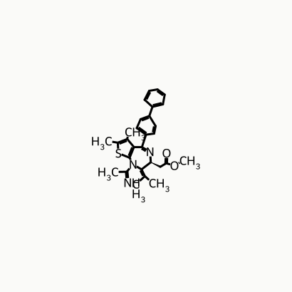 COC(=O)C[C@@H]1N=C(c2ccc(-c3ccccc3)cc2)c2c(sc(C)c2C)N(C(C)=N)C1=C(C)C